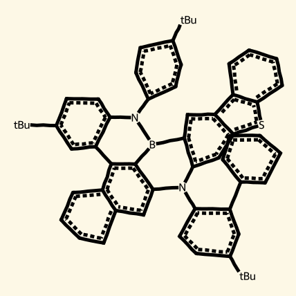 CC(C)(C)c1ccc(N2B3c4cc5c(cc4N(c4ccc(C(C)(C)C)cc4-c4ccccc4)c4cc6ccccc6c(c43)-c3cc(C(C)(C)C)ccc32)sc2ccccc25)cc1